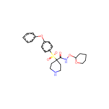 O=C(NOC1CCCCO1)C1(S(=O)(=O)c2ccc(Oc3ccccc3)cc2)CCNCC1